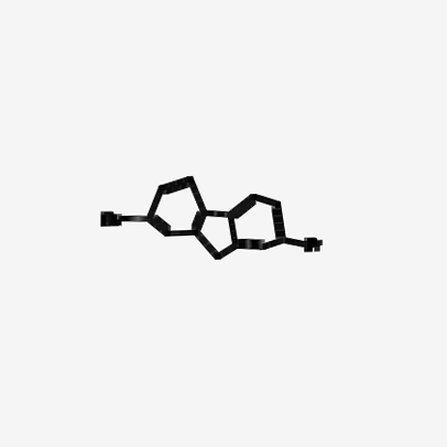 CCC(C)c1ccc2c(c1)Cc1cc(C(C)C)ccc1-2